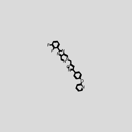 Fc1cccc(-c2nc3cnn(Cc4cc(-c5ccc(Oc6ccccn6)cc5)no4)cc-3n2)c1F